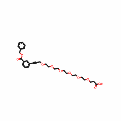 O=C(O)CCOCCOCCOCCOCCOCCOCC#Cc1cccc(C(=O)OCc2ccccc2)c1